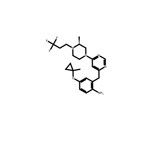 C[C@H]1CN(c2cc(Cc3cc(OC4(C)CC4)ccc3N)ncn2)CCN1CCC(F)(F)F